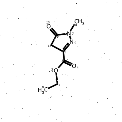 CCOC(=O)C1=NN(C)C(=O)C1